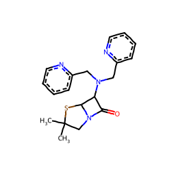 CC1(C)CN2C(=O)C(N(Cc3ccccn3)Cc3ccccn3)C2S1